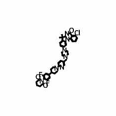 CC1(C)c2ccc(N3CCN(Cc4ccc(N5CCC(c6cc(F)c(N7C(=O)CCCC7=O)c(F)c6)CC5)nc4)CC3)cc2-n2c1nc(=O)c1c(Cl)cccc12